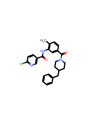 Cc1ccc(C(=O)N2CCC(Cc3ccccc3)CC2)cc1NC(=O)c1ccc(Cl)nc1